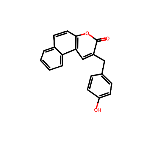 O=c1oc2ccc3ccccc3c2cc1Cc1ccc(O)cc1